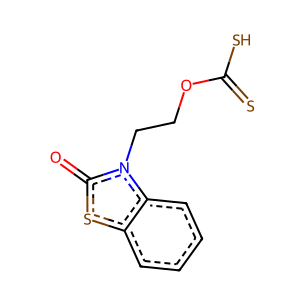 O=c1sc2ccccc2n1CCOC(=S)S